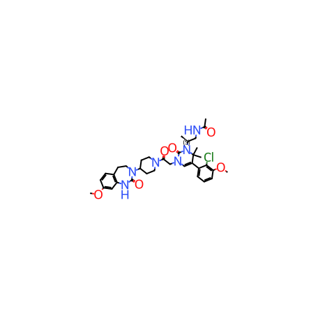 COc1ccc2c(c1)NC(=O)N(C1CCN(C(=O)CN3C=C(c4cccc(OC)c4Cl)C(C)(C)N([C@@H](C)CNC(C)=O)C3=O)CC1)CC2